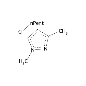 CCCCCCl.Cc1ccn(C)n1